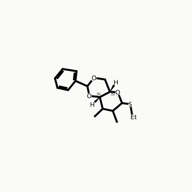 CCSC1O[C@H]2COC(c3ccccc3)O[C@H]2C(C)C1C